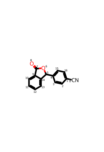 N#Cc1ccc(C2OC(=O)c3ccccc32)cc1